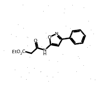 CCOC(=O)CC(=O)Nc1cc(-c2ccccc2)no1